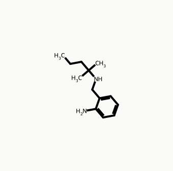 CCCC(C)(C)NCc1ccccc1N